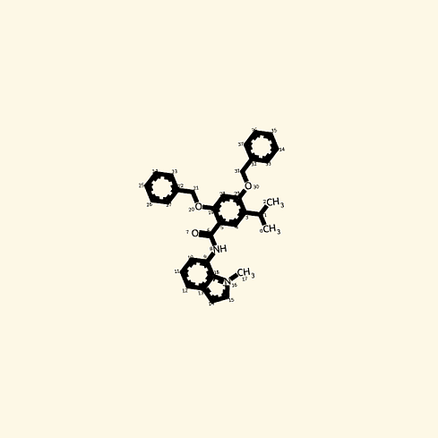 CC(C)c1cc(C(=O)Nc2cccc3ccn(C)c23)c(OCc2ccccc2)cc1OCc1ccccc1